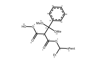 CCCCCC(CC)OC(=O)C(C(=O)OO)C(OC)(OC)c1ccccc1